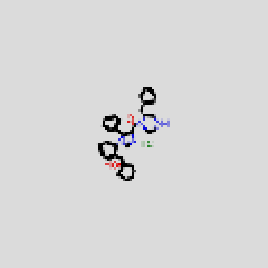 Cl.O=C(c1ncn(-c2ccccc2CC2(O)CCCCC2)c1-c1ccccc1)N1CCNC[C@H]1Cc1ccccc1